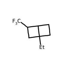 CCC12CCC1C(C(F)(F)F)C2